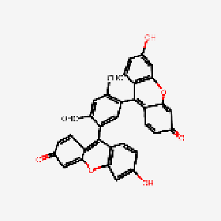 O=Cc1cc(C=O)c(-c2c3ccc(=O)cc-3oc3cc(O)ccc23)cc1-c1c2ccc(=O)cc-2oc2cc(O)ccc12